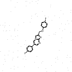 Fc1ccc(OCc2cn3cc(-c4ccc(F)cc4)cnc3n2)cc1